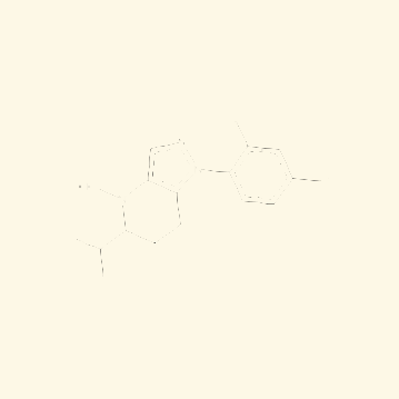 O=CN1c2cnn(-c3ccc(Cl)cc3Cl)c2CCC1C(F)F